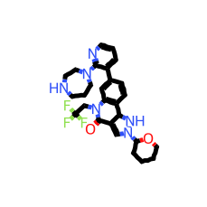 O=C1C2=CN(C3CCCCO3)NC2c2ccc(-c3cccnc3N3CCCNCC3)cc2N1CC(F)(F)F